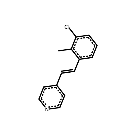 Cc1c(Cl)cccc1C=Cc1ccncc1